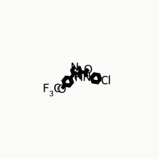 O=C(Nc1ccc(Cl)cc1)c1cncc(-c2ccc(OC(F)(F)F)cc2)n1